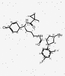 CC1(C(=O)N[C@@H](CCCNC(=O)[C@@H]2CN(C(C)(C)C)C[C@H]2c2ccc(F)cc2F)C2C=CC(Cl)=CC2)CC1